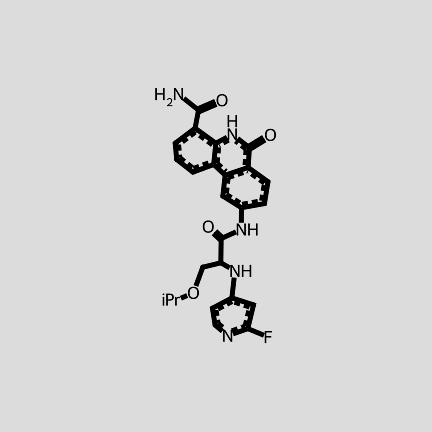 CC(C)OCC(Nc1ccnc(F)c1)C(=O)Nc1ccc2c(=O)[nH]c3c(C(N)=O)cccc3c2c1